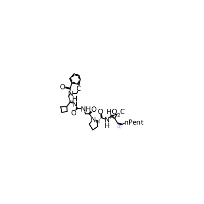 CCCCC/C=C\C1C[C@]1(NC(=O)[C@@H]1CCCN1C(=O)CNC(=O)N[C@H](CN1CCc2ccccc2C1=O)C1CCC1)C(=O)O